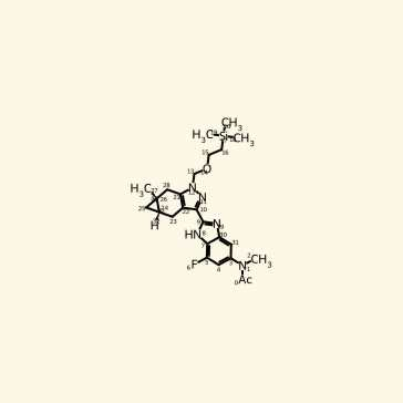 CC(=O)N(C)c1cc(F)c2[nH]c(-c3nn(COCC[Si](C)(C)C)c4c3C[C@@H]3C[C@]3(C)C4)nc2c1